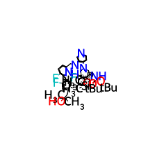 C[C@H]1CN(c2ccncc2NCc2ccc(F)c(-c3c(F)cc(CC(C)(C)O)cc3F)n2)C[C@@H](NC(=O)OC(C)(C)C)[C@@H]1O[Si](C)(C)C(C)(C)C